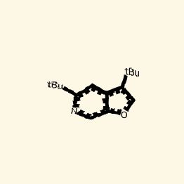 CC(C)(C)c1cc2c(C(C)(C)C)coc2cn1